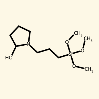 CO[Si](CCCN1CCCC1O)(OC)OC